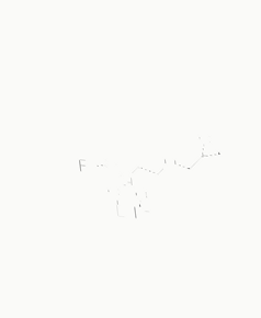 CCO[Si](CCOCC1CO1)(OCC)OCC